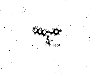 CCCCCCCC(=O)NCCn1cc(Cc2cncnc2)c(=O)nc1SCc1ccc(F)cc1